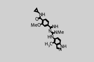 CN/C(=N\C(=N)c1ccc(C(=O)NC2CC2)c(OC)c1)Nc1ccc2[nH]ncc2c1C